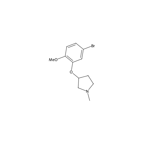 COc1ccc(Br)cc1OC1CCN(C)C1